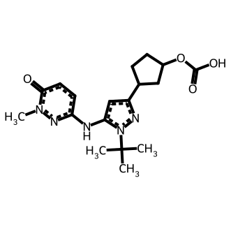 Cn1nc(Nc2cc(C3CCC(OC(=O)O)C3)nn2C(C)(C)C)ccc1=O